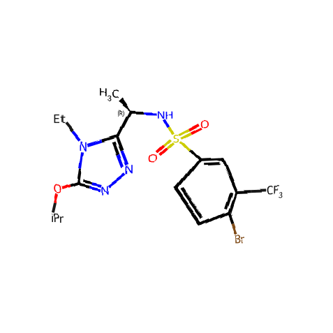 CCn1c(OC(C)C)nnc1[C@@H](C)NS(=O)(=O)c1ccc(Br)c(C(F)(F)F)c1